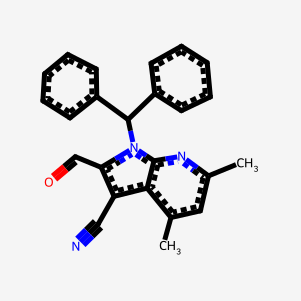 Cc1cc(C)c2c(C#N)c(C=O)n(C(c3ccccc3)c3ccccc3)c2n1